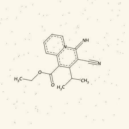 CCOC(=O)c1c(C(C)C)c(C#N)c(=N)n2ccccc12